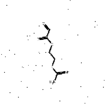 N=C(N)SCCOC(=O)C=O